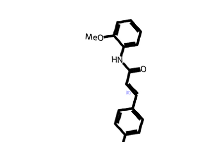 COc1ccccc1NC(=O)/C=C/c1ccc(Cl)cc1